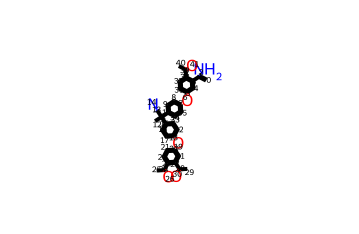 C=C(N)c1cc(Oc2ccc(C(C)(C#N)c3ccc(Oc4ccc(C(C)=O)c(C(C)=O)c4)cc3)cc2)ccc1C(C)=O